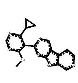 COc1ncnc(C2CC2)c1-c1ncc2c(n1)[nH]c1cnccc12